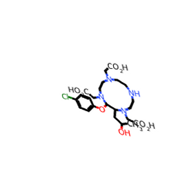 CC(O)CC1C(Oc2ccc(Cl)cc2)N(CC(=O)O)CCN(CC(=O)O)CCNCCN1CC(=O)O